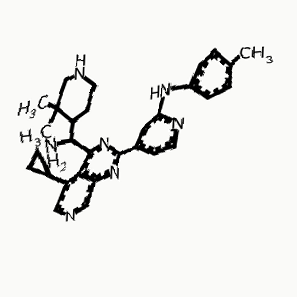 Cc1ccc(Nc2cc(-c3nc(C(N)C4CCNCC4(C)C)c4c(C5CC5)cncc4n3)ccn2)cc1